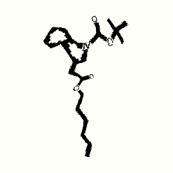 CC/C=C/CCOC(=O)Cc1cn(C(=O)OC(C)(C)C)c2ccccc12